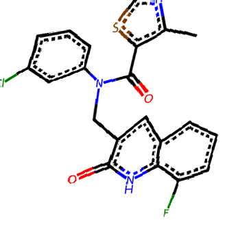 Cc1ncsc1C(=O)N(Cc1cc2cccc(F)c2[nH]c1=O)c1cccc(Cl)c1